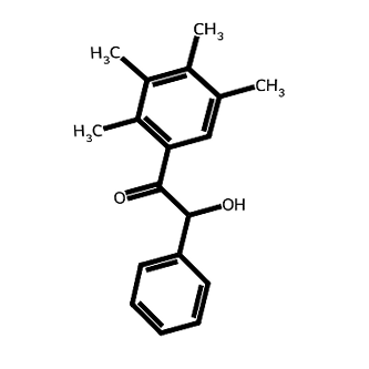 Cc1cc(C(=O)C(O)c2ccccc2)c(C)c(C)c1C